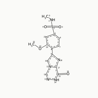 CNS(=O)(=O)c1ccc(-c2cn3cn[nH]c(=O)c3n2)c(OC)c1